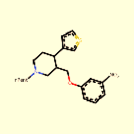 CCCCCN1CCC(c2ccsc2)C(COc2cccc([N+](=O)[O-])c2)C1